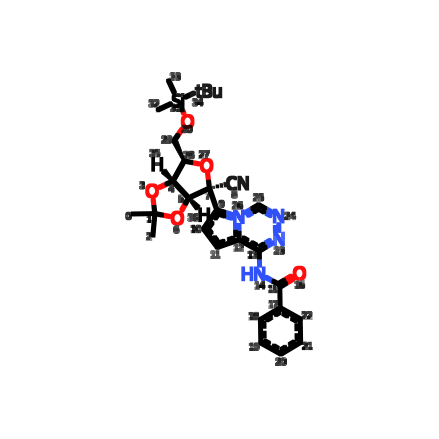 CC1(C)O[C@H]2[C@@H](O1)[C@](C#N)(c1ccc3c(NC(=O)c4ccccc4)nncn13)O[C@@H]2CO[Si](C)(C)C(C)(C)C